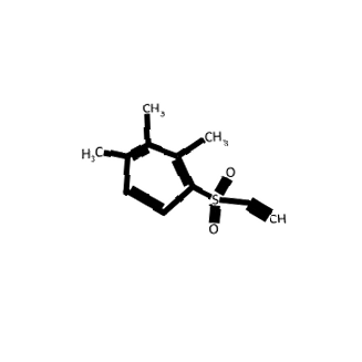 C#CS(=O)(=O)c1ccc(C)c(C)c1C